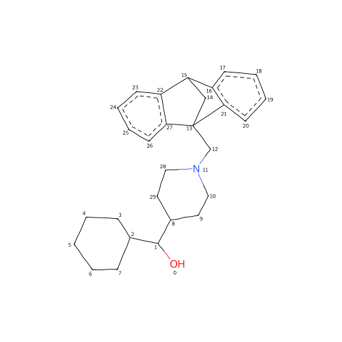 OC(C1CCCCC1)C1CCN(CC23CC(c4ccccc42)c2ccccc23)CC1